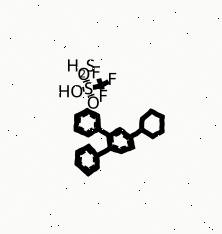 O=S(=O)(O)C(F)(F)F.S.c1ccc(-c2ccc(C3CCCCC3)cc2-c2ccccc2)cc1